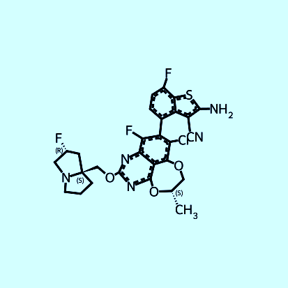 C[C@H]1COc2c(Cl)c(-c3ccc(F)c4sc(N)c(C#N)c34)c(F)c3nc(OC[C@@]45CCCN4C[C@H](F)C5)nc(c23)O1